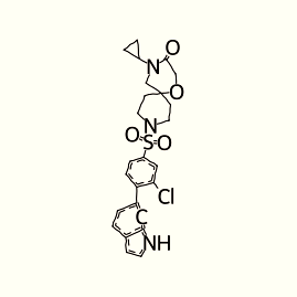 O=C1COC2(CCN(S(=O)(=O)c3ccc(-c4ccc5cc[nH]c5c4)c(Cl)c3)CC2)CN1C1CC1